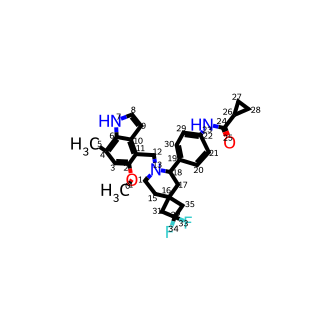 COc1cc(C)c2[nH]ccc2c1CN1CCC2(CC1c1ccc(NC(=O)C3CC3)cc1)CC(F)(F)C2